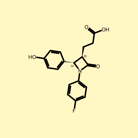 O=C(O)CC[C@H]1C(=O)N(c2ccc(F)cc2)[C@@H]1c1ccc(O)cc1